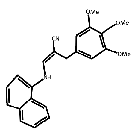 COc1cc(CC(C#N)=CNc2cccc3ccccc23)cc(OC)c1OC